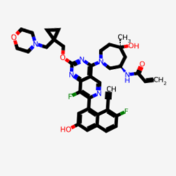 C#Cc1c(F)ccc2cc(O)cc(-c3ncc4c(N5CC[C@@](C)(O)C[C@@H](NC(=O)C=C)C5)nc(OCC5(CN6CCOCC6)CC5)nc4c3F)c12